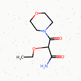 CCOC(C(N)=O)C(=O)N1CCOCC1